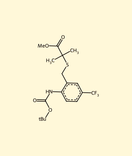 COC(=O)C(C)(C)SCc1cc(C(F)(F)F)ccc1NC(=O)OC(C)(C)C